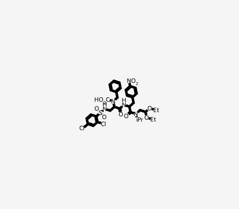 CCOC(CN(C(=O)C(Cc1ccc([N+](=O)[O-])cc1)NC(=O)C(CNS(=O)(=O)c1ccc(Cl)cc1Cl)N(Cc1ccccc1)C(=O)O)C(C)C)OCC